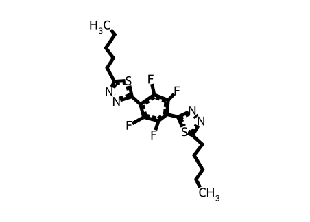 CCCCCc1nnc(-c2c(F)c(F)c(-c3nnc(CCCCC)s3)c(F)c2F)s1